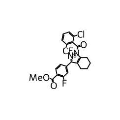 COC(=O)c1ccc(-c2nn(C(=O)c3c(Cl)cccc3C(F)(F)F)c3c2CCCC3)cc1F